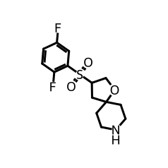 O=S(=O)(c1cc(F)ccc1F)C1COC2(CCNCC2)C1